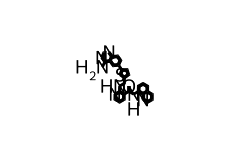 Nc1ncnc2ccc(-c3ccc(CNc4ncccc4C(=O)Nc4cccc5cccnc45)s3)cc12